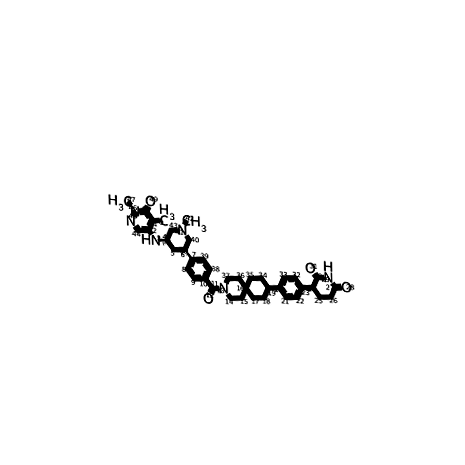 Cc1c(N[C@@H]2C[C@H](c3ccc(C(=O)N4CCC5(CCC(c6ccc(C7CCC(=O)NC7=O)cc6)CC5)CC4)cc3)CN(C)C2)cnn(C)c1=O